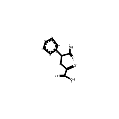 O=C(O)C(=O)CC(C(=O)S)c1ccccc1